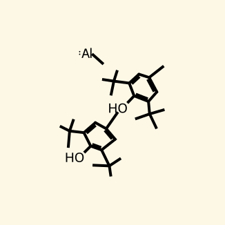 Cc1cc(C(C)(C)C)c(O)c(C(C)(C)C)c1.Cc1cc(C(C)(C)C)c(O)c(C(C)(C)C)c1.[CH3][Al]